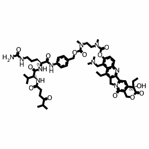 CCc1c2c(nc3ccc(OC(=O)N(C)CCN(C)C(=O)OCc4ccc(NC(=O)[C@H](CCCNC(N)=O)NC(=O)[C@@H](NC(=O)CCC(=O)C(C)C)C(C)C)cc4)c(CN(C)C)c13)-c1cc3c(c(=O)n1C2)COC(=O)[C@]3(O)CC